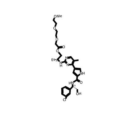 CC[C@H](COC(=O)COCCOCCOC)Nc1ncc(C)c(-c2c[nH]c(C(=O)N[C@H](CO)c3cccc(Cl)c3)c2)n1